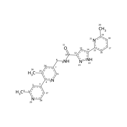 Cc1cc(-c2ncc(CNC(=O)c3cc(-c4cccc(C)n4)[nH]n3)cc2C)ccn1